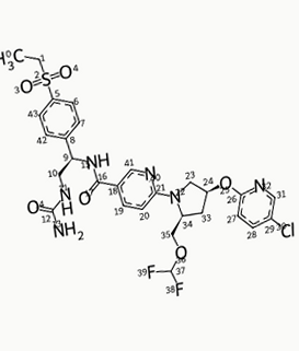 CCS(=O)(=O)c1ccc([C@H](CNC(N)=O)NC(=O)c2ccc(N3C[C@@H](Oc4ccc(Cl)cn4)C[C@H]3COC(F)F)nc2)cc1